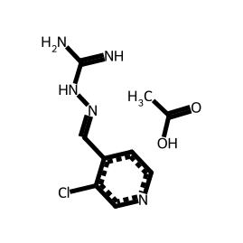 CC(=O)O.N=C(N)N/N=C/c1ccncc1Cl